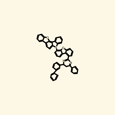 c1ccc(C2=NC(c3cccc4oc5c(-n6c7ccccc7c7c8oc9ccccc9c8ccc76)cccc5c34)=NC(c3cccc(-c4ccccc4)c3)C2)cc1